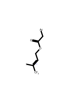 CC(=O)CC(=O)OC/C=C(\I)C(F)(F)F